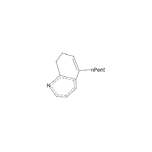 CCCCCC1=CCCc2ncccc21